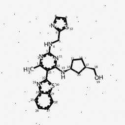 Cc1nc(NCc2nccs2)nc(N[C@H]2CC[C@@H](CO)C2)c1-c1nc2ccccc2s1